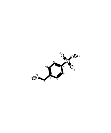 CCCCS(=O)(=O)c1ccc(CC(C)(C)C)cc1